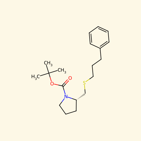 CC(C)(C)OC(=O)N1CCC[C@H]1CSCCCc1ccccc1